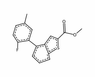 COC(=O)c1cc2c(-c3cc(C)ccc3F)cccc2s1